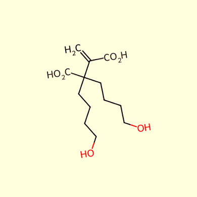 C=C(C(=O)O)C(CCCCO)(CCCCO)C(=O)O